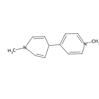 CN1C=CC(c2cc[n+](C)cc2)C=C1